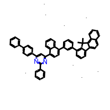 CC1(C)c2c(-c3cccc(-c4ccc(-c5cc(-c6ccc(-c7ccccc7)cc6)nc(-c6ccccc6)n5)c5ccccc45)c3)cccc2-c2ccc3ccccc3c21